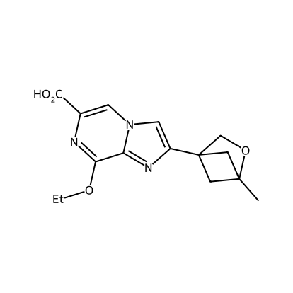 CCOc1nc(C(=O)O)cn2cc(C34COC(C)(C3)C4)nc12